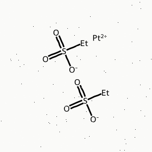 CCS(=O)(=O)[O-].CCS(=O)(=O)[O-].[Pt+2]